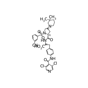 CC1(C)CCCN([C@@H]2C[C@@H](C(=O)N[C@@H](Cc3ccc(NC(=O)c4c(Cl)cncc4Cl)cc3)C(=O)O)N(S(=O)(=O)c3cccc(C#N)c3)C2)C1